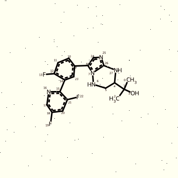 CC(C)(O)C1CNn2c(-c3ccc(F)c(-c4ncc(F)cc4F)c3)cnc2N1